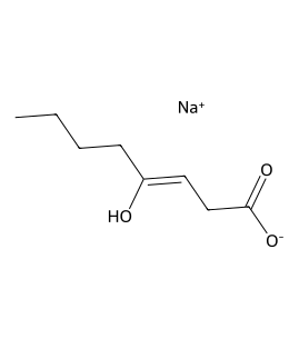 CCCCC(O)=CCC(=O)[O-].[Na+]